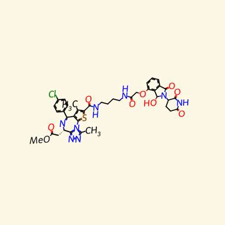 COC(=O)C[C@@H]1N=C(c2ccc(Cl)cc2)c2c(sc(C(=O)NCCCCNC(=O)COc3cccc4c3C(O)N(C3CCC(=O)NC3=O)C4=O)c2C)-n2c(C)nnc21